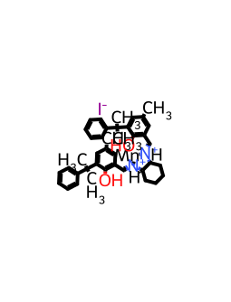 Cc1cc(C=[N+]2[Mn][N+](=Cc3cc(C)cc(C(C)(C)c4ccccc4)c3O)[C@@H]3CCCC[C@H]32)c(O)c(C(C)(C)c2ccccc2)c1.[I-]